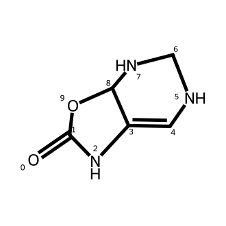 O=C1NC2=CNCNC2O1